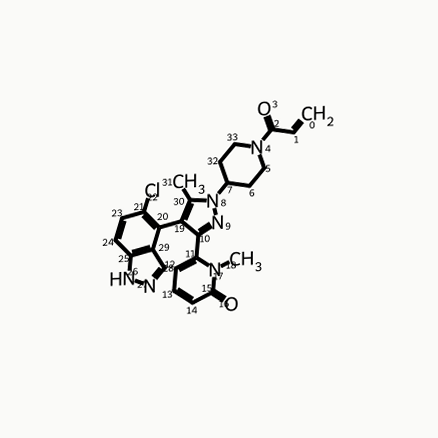 C=CC(=O)N1CCC(n2nc(-c3cccc(=O)n3C)c(-c3c(Cl)ccc4[nH]ncc34)c2C)CC1